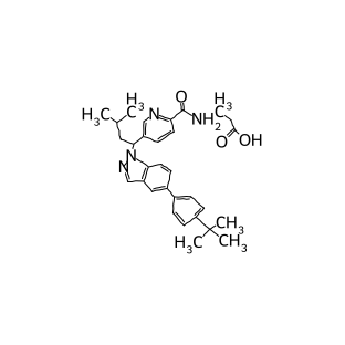 CC(C)CC(c1ccc(C(N)=O)nc1)n1ncc2cc(-c3ccc(C(C)(C)C)cc3)ccc21.CCC(=O)O